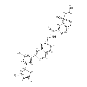 Cc1ncc(C(=O)NCc2cc3nc(-c4cc(F)cc(N5C[C@@H](C)O[C@@H](C)C5)n4)ccc3cn2)cc1S(=O)(=O)CCO